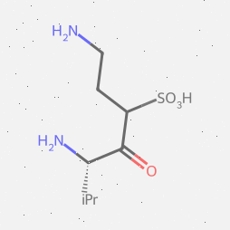 CC(C)[C@H](N)C(=O)C(CCN)S(=O)(=O)O